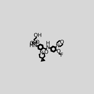 O=C(Nc1ccc(OCF)c(N2CCOCC2)c1)c1ccc(NS(=O)(=O)CCO)cc1N1CCC2(CC1)CC2